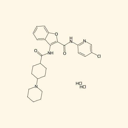 Cl.Cl.O=C(Nc1ccc(Cl)cn1)c1oc2ccccc2c1NC(=O)C1CCC(N2CCCCC2)CC1